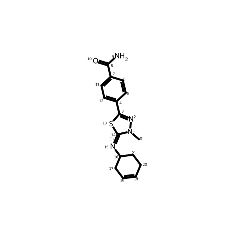 Cn1nc(-c2ccc(C(N)=O)cc2)s/c1=N/C1CC=CCC1